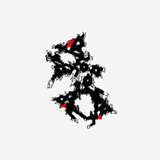 CCC1=C(C)c2nc1cc1[nH]c(c(C)c1CC)c(-c1c(C)cc(C)cc1C)c1nc(c(-c3ccc(N(c4ccc(C)cc4)c4ccc(-c5c6nc(c(-c7c(C)cc(C)cc7C)c7[nH]c(cc8nc(c(-c9c(C)cc(C)cc9C)c9[nH]c5c(CC)c9C)C(C)=C8CC)c(CC)c7C)C(C)=C6CC)cc4)cc3)c3[nH]c(c(C)c3CC)c2-c2c(C)cc(C)cc2C)C(CC)=C1C